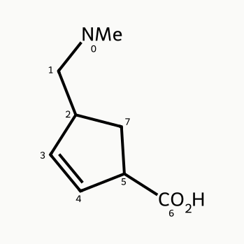 CNCC1C=CC(C(=O)O)C1